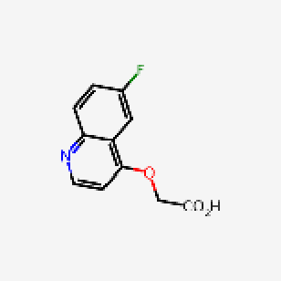 O=C(O)COc1ccnc2ccc(F)cc12